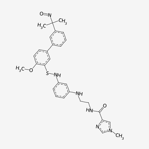 COc1ccc(-c2cccc(C(C)(C)N=O)c2)cc1SNc1cccc(NCCNC(=O)c2cn(C)cn2)c1